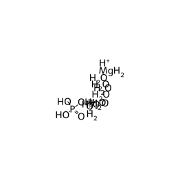 O.O.O.O.O.O.O.O.O=P(O)(O)O.[H+].[MgH2]